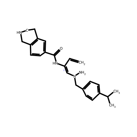 C=C/C(=C\N(N)Cc1ccc(C(C)C)cc1)NC(=O)c1ccc2c(c1)CCNC2